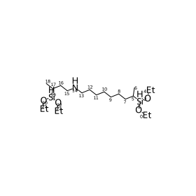 CCO[SiH](OCC)C(C)CCCCCCCNCCC(C)[SiH](OCC)OCC